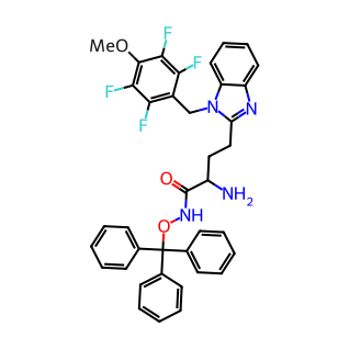 COc1c(F)c(F)c(Cn2c(CCC(N)C(=O)NOC(c3ccccc3)(c3ccccc3)c3ccccc3)nc3ccccc32)c(F)c1F